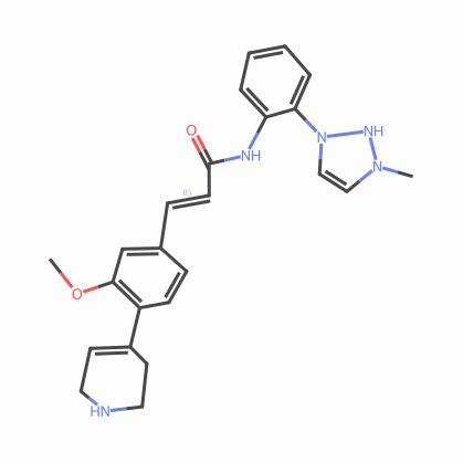 COc1cc(/C=C/C(=O)Nc2ccccc2N2C=CN(C)N2)ccc1C1=CCNCC1